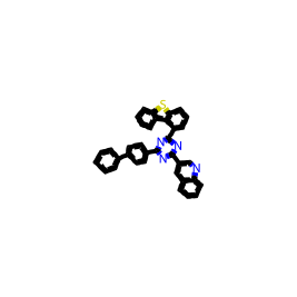 c1ccc(-c2ccc(-c3nc(-c4cnc5ccccc5c4)nc(-c4cccc5sc6ccccc6c45)n3)cc2)cc1